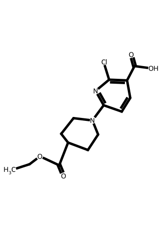 CCOC(=O)C1CCN(c2ccc(C(=O)O)c(Cl)n2)CC1